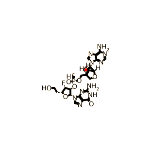 Nc1nc2c(ncn2[C@@H]2O[C@H](CCO)[C@H](F)[C@H]2OP(O)(=S)OCC23CO[C@@H]([C@H](n4cnc5c(N)ncnc54)O2)[C@@H]3O)c(=O)[nH]1